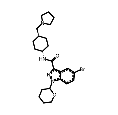 O=C(N[C@H]1CC[C@H](CN2CCCC2)CC1)c1nn(C2CCCCO2)c2ccc(Br)cc12